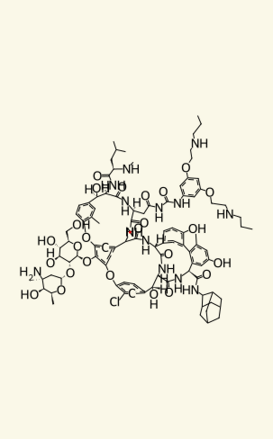 CCCNCCOc1cc(NC(=O)NC(=O)C[C@@H]2NC(=O)[C@H](NC(=O)[C@@H](CC(C)C)NC)[C@H](O)c3ccc(c(C)c3)Oc3cc4cc(c3O[C@@H]3O[C@H](CO)[C@@H](O)[C@H](O)[C@H]3O[C@H]3C[C@](C)(N)[C@H](O)[C@H](C)O3)Oc3ccc(cc3Cl)[C@@H](O)[C@@H]3NC(=O)[C@H](NC(=O)[C@@H]4NC2=O)c2ccc(O)c(c2)-c2c(C)cc(O)cc2[C@@H](C(=O)NC2C4CC5CC(C4)CC2C5)NC3=O)cc(OCCNCCC)c1